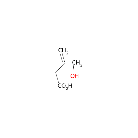 C=CCC(=O)O.CO